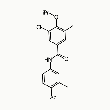 CC(=O)c1ccc(NC(=O)c2cc(C)c(OC(C)C)c(Cl)c2)cc1C